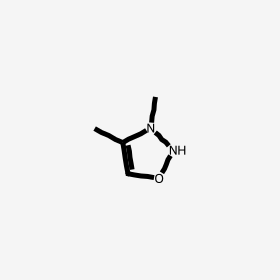 CC1=CONN1C